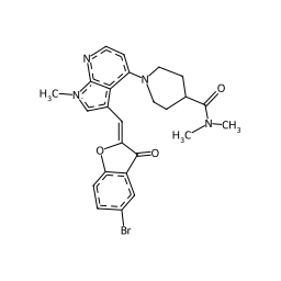 CN(C)C(=O)C1CCN(c2ccnc3c2c(/C=C2\Oc4ccc(Br)cc4C2=O)cn3C)CC1